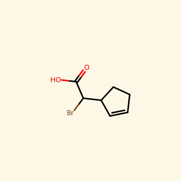 O=C(O)C(Br)C1C=CCC1